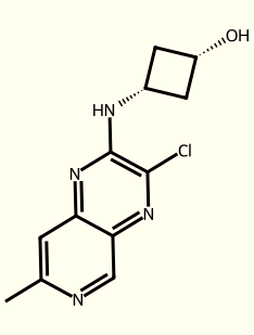 Cc1cc2nc(N[C@H]3C[C@@H](O)C3)c(Cl)nc2cn1